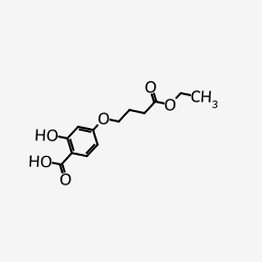 CCOC(=O)CCCOc1ccc(C(=O)O)c(O)c1